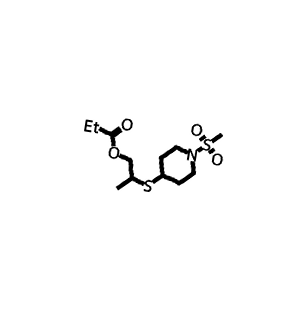 CCC(=O)OCC(C)SC1CCN(S(C)(=O)=O)CC1